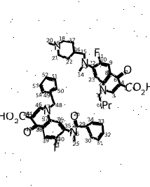 CC(C)Cn1cc(C(=O)O)c(=O)c2cc(F)c(N(C)CC3CCN(C)CC3)cc21.CN(C(=O)c1ccccc1)c1cc2c(cc1F)c(=O)c(C(=O)O)cn2Cc1ccccc1